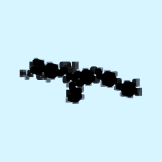 Cc1nccc(-c2ccc(CC(NC(=O)[C@@H]3Cc4cc5c(cc4CN3Cc3ncccc3F)O[C@@H](c3ccc(OCc4ccc(Cl)c(Cl)c4)cc3)CO5)C(=O)O)cc2)c1C